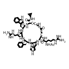 CC(=O)N[C@@H](CCCNC(=N)N)C(=O)N[C@H]1CCC(=O)NCCC[C@@H](C(=O)NC2CC2)NC(=O)[C@H](Cc2c[nH]c3ccccc23)NC(=O)[C@H](CCCNC(=N)N)NC(=O)[C@@H](Cc2ccccc2)NC(O)[C@H](Cc2c[nH]cn2)NC1=O